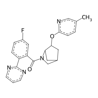 Cc1ccc(OC2CC3CC2N(C(=O)c2cc(F)ccc2-c2ncccn2)C3)nc1